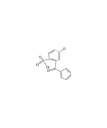 O=C(c1ccccc1)c1cc(Cl)ccc1S(=O)(=O)Cl